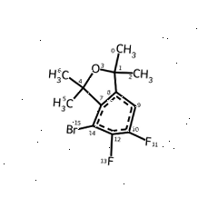 CC1(C)OC(C)(C)c2c1cc(F)c(F)c2Br